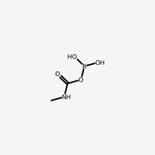 CNC(=O)OB(O)O